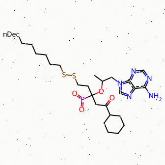 CCCCCCCCCCCCCCCCSSCCC(CC(=O)C1CCCCC1)(OC(C)Cn1cnc2c(N)ncnc21)P(=O)=O